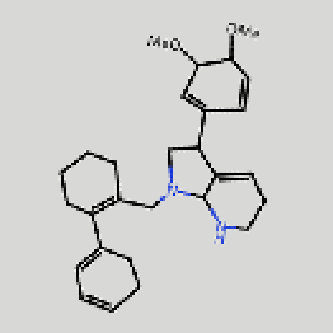 COC1C=CC(C2CN(CC3=C(C4=CC=CCC4)CCCC3)C3NCCC=C23)=CC1OC